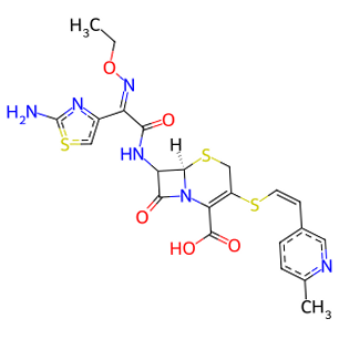 CCO/N=C(/C(=O)NC1C(=O)N2C(C(=O)O)=C(S/C=C\c3ccc(C)nc3)CS[C@H]12)c1csc(N)n1